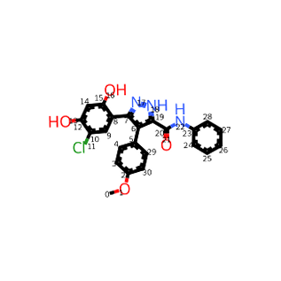 COc1ccc(-c2c(-c3cc(Cl)c(O)cc3O)n[nH]c2C(=O)Nc2ccccc2)cc1